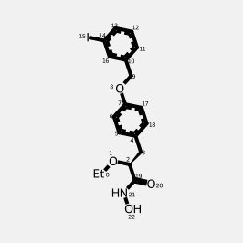 CCO[C@@H](Cc1ccc(OCc2cccc(I)c2)cc1)C(=O)NO